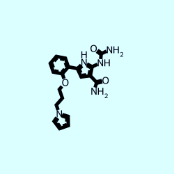 NC(=O)Nc1[nH]c(-c2ccccc2OCCCn2cccc2)cc1C(N)=O